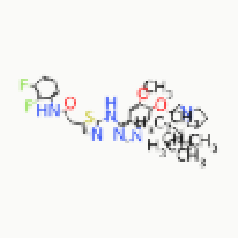 COc1cc2c(Nc3ncc(CC(=O)Nc4cccc(F)c4F)s3)ncnc2cc1OCCN1CCC[C@@H]1C(C(C)(C)C)C(C)(C)C